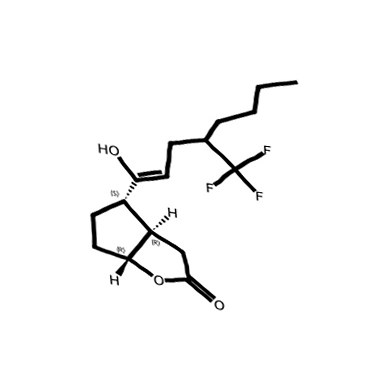 CCCCC(CC=C(O)[C@H]1CC[C@H]2OC(=O)C[C@H]12)C(F)(F)F